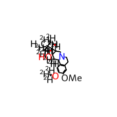 [2H]C([2H])([2H])Oc1cc2c(cc1OC)CCN1CC([2H])(C([2H])([2H])C(C)(C([2H])([2H])[2H])C([2H])([2H])[2H])C([2H])(O)C([2H])([2H])C21[2H]